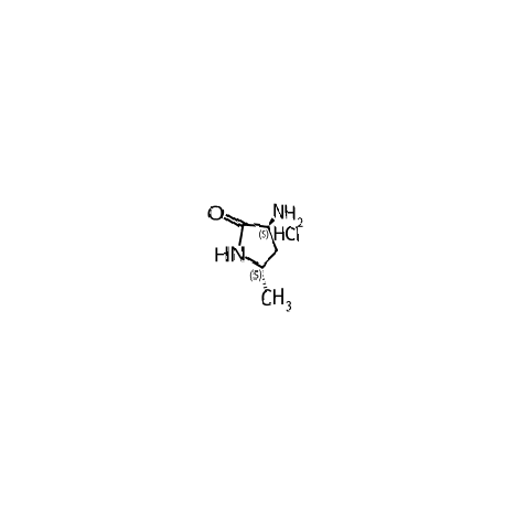 C[C@H]1C[C@H](N)C(=O)N1.Cl